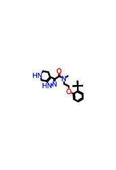 CN(CCOc1ccccc1C(C)(C)C)C(=O)c1n[nH]c2c1CCNC2